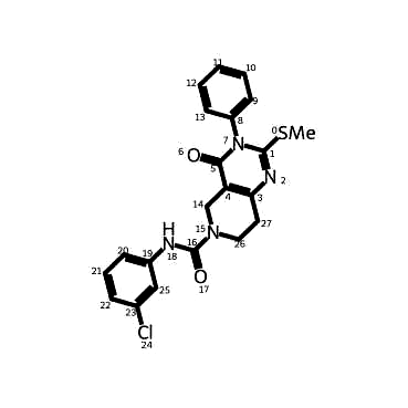 CSc1nc2c(c(=O)n1-c1ccccc1)CN(C(=O)Nc1cccc(Cl)c1)CC2